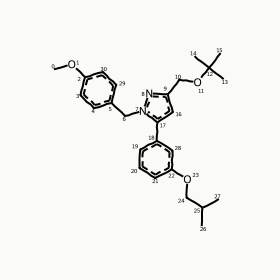 COc1ccc(Cn2nc(COC(C)(C)C)cc2-c2cccc(OCC(C)C)c2)cc1